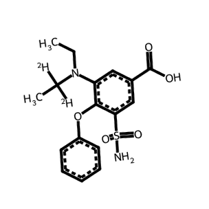 [2H]C([2H])(C)N(CC)c1cc(C(=O)O)cc(S(N)(=O)=O)c1Oc1ccccc1